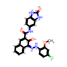 COc1cc(Cl)ccc1N/N=C1\C(=O)C(C(=O)Nc2ccc3[nH]c(=O)[nH]c3c2)=Cc2ccccc21